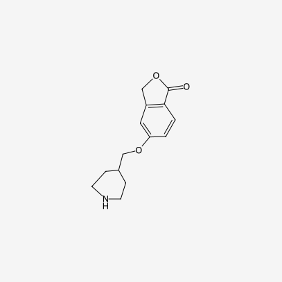 O=C1OCc2cc(OCC3CCNCC3)ccc21